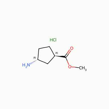 COC(=O)[C@@H]1CC[C@@H](N)C1.Cl